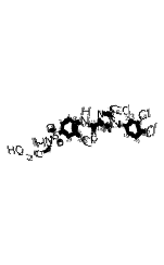 O=C(O)CNS(=O)(=O)c1ccc(NC(=O)c2nc(C(Cl)(Cl)Cl)n(-c3ccc(Cl)c(Cl)c3)n2)c(Cl)c1